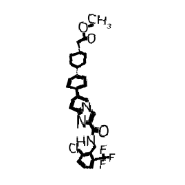 CCOC(=O)C[C@H]1CC[C@H](c2ccc(-c3ccc4nc(C(=O)NCc5c(Cl)cccc5C(F)(F)F)cn4c3)cc2)CC1